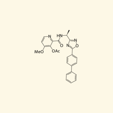 COc1ccnc(C(=O)N[C@@H](C)c2noc(-c3ccc(-c4ccccc4)cc3)n2)c1OC(C)=O